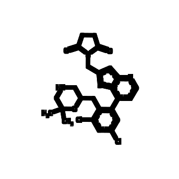 CC1(C)CNCC(Cc2c(Cl)cc(Cl)cc2-c2ccnc3cc(CN4C(=O)CCC4=O)sc23)O1